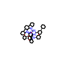 c1ccc(-c2cccc(C3=NC(c4ccccc4)NC(n4c5ccccc5c5ccc6c7ccccc7n(-c7ccc8c(c7-c7ccccc7)c7ccccc7n8-c7ccccc7)c6c54)=N3)c2)cc1